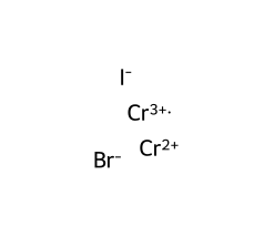 [Br-].[Cr+2].[Cr+3].[I-]